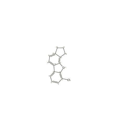 Clc1cccc2c1oc1c3c(ccc12)CCC3